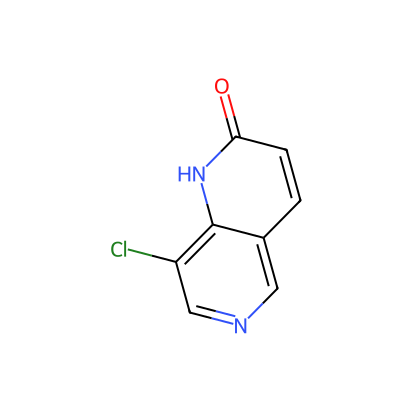 O=c1ccc2cncc(Cl)c2[nH]1